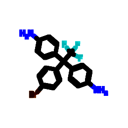 Nc1ccc(C(c2ccc(N)cc2)(c2ccc(Br)cc2)C(F)(F)F)cc1